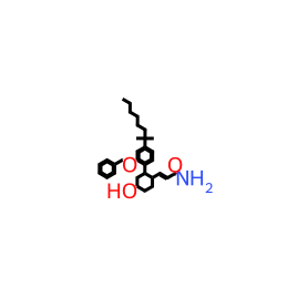 CCCCCCC(C)(C)c1ccc(C2CC(O)CCC2C=CC(N)=O)c(OCc2ccccc2)c1